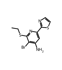 CCSc1nc(-c2nccs2)cc(N)c1Br